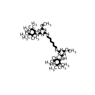 COc1nc(N=CCCCCC=Nc2nc(NC3CC(C)(C)NC(C)(C)C3C)nc(OC)n2)nc(NC2CC(C)(C)NC(C)(C)C2C)n1